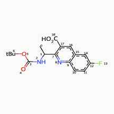 CC(NC(=O)OC(C)(C)C)c1nc2ccc(F)cc2cc1C(=O)O